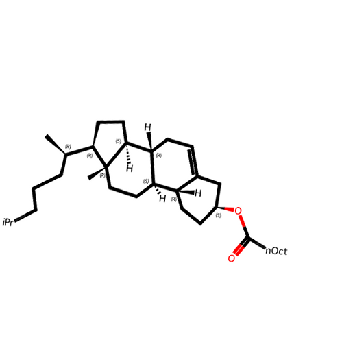 CCCCCCCCC(=O)O[C@H]1CC[C@H]2C(=CC[C@@H]3[C@@H]2CC[C@]2(C)[C@@H]([C@H](C)CCCC(C)C)CC[C@@H]32)C1